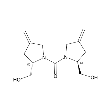 C=C1C[C@@H](CO)N(C(=O)N2CC(=C)C[C@H]2CO)C1